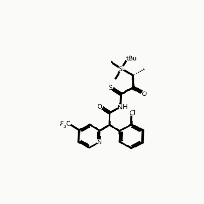 C[C@H](C(=O)C(=S)NC(=O)C(c1cc(C(F)(F)F)ccn1)c1ccccc1Cl)[Si](C)(C)C(C)(C)C